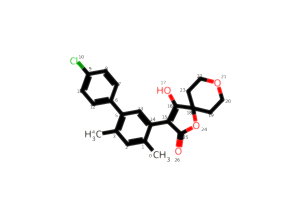 Cc1cc(C)c(-c2ccc(Cl)cc2)cc1C1=C(O)C2(CCOCC2)OC1=O